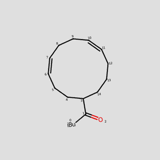 CCC(C)C(=O)C1CC/C=C\CC/C=C\CCC1